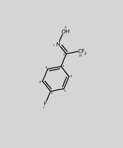 ON=C(c1ccc(F)cc1)C(F)(F)F